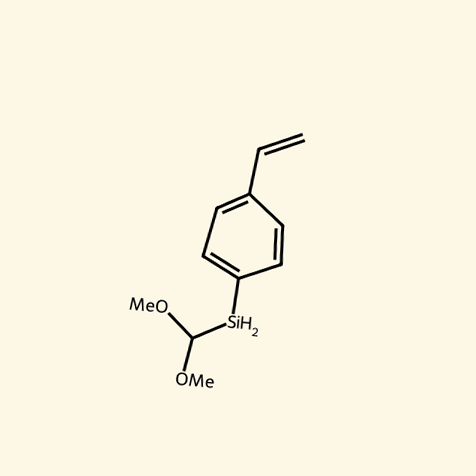 C=Cc1ccc([SiH2]C(OC)OC)cc1